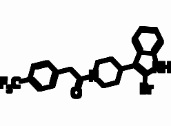 O=C(Cc1ccc(C(F)(F)F)cc1)N1CCC(c2c(Br)[nH]c3ccccc23)CC1